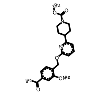 COc1cc(C(=O)C(C)C)ccc1COc1cccc(C2CCN(C(=O)OC(C)(C)C)CC2)n1